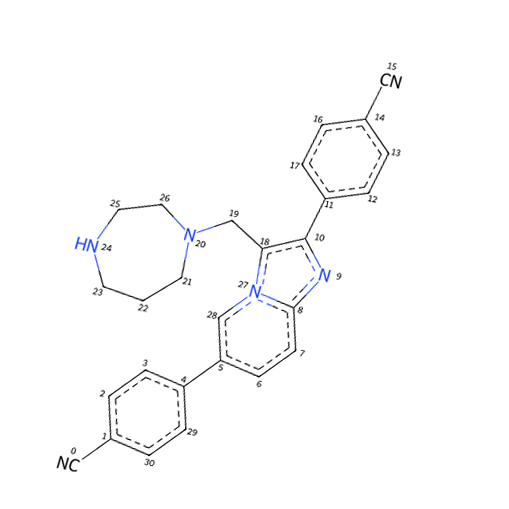 N#Cc1ccc(-c2ccc3nc(-c4ccc(C#N)cc4)c(CN4CCCNCC4)n3c2)cc1